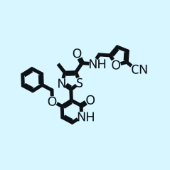 Cc1nc(-c2c(OCc3ccccc3)cc[nH]c2=O)sc1C(=O)NCc1ccc(C#N)o1